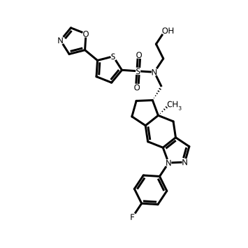 C[C@]12Cc3cnn(-c4ccc(F)cc4)c3C=C1CC[C@@H]2CN(CCO)S(=O)(=O)c1ccc(-c2cnco2)s1